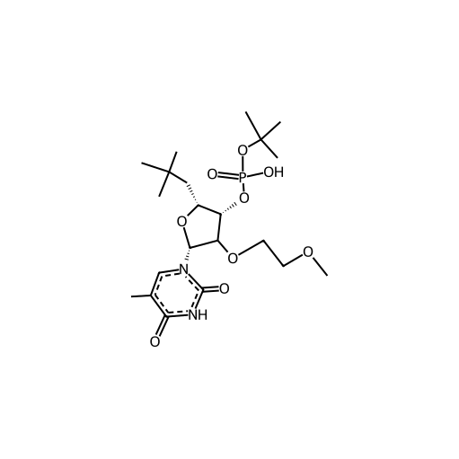 COCCOC1[C@@H](OP(=O)(O)OC(C)(C)C)[C@@H](CC(C)(C)C)O[C@H]1n1cc(C)c(=O)[nH]c1=O